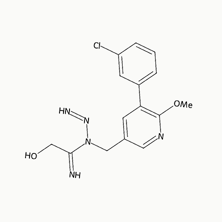 COc1ncc(CN(N=N)C(=N)CO)cc1-c1cccc(Cl)c1